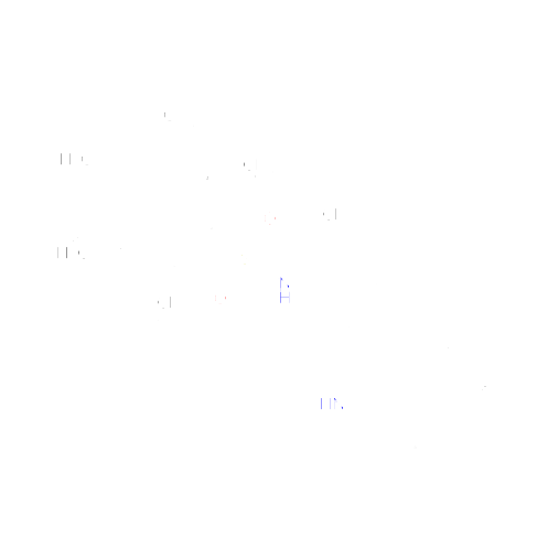 Cc1c(C)c(C)c(S(=O)(=O)NC(C)Cc2c[nH]c3ccccc23)c(C)c1C